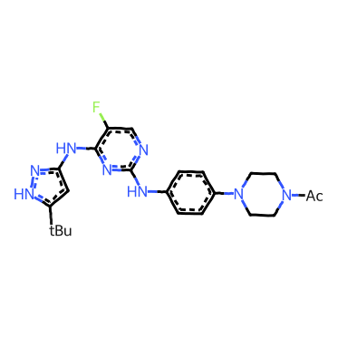 CC(=O)N1CCN(c2ccc(Nc3ncc(F)c(Nc4cc(C(C)(C)C)[nH]n4)n3)cc2)CC1